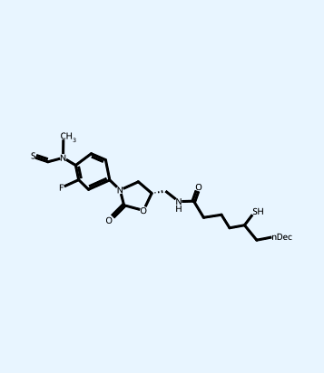 CCCCCCCCCCCC(S)CCCC(=O)NC[C@H]1CN(c2ccc(N(C)C=S)c(F)c2)C(=O)O1